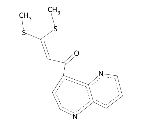 CSC(=CC(=O)c1ccnc2cccnc12)SC